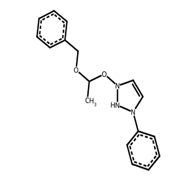 CC(OCc1ccccc1)ON1C=CN(c2ccccc2)N1